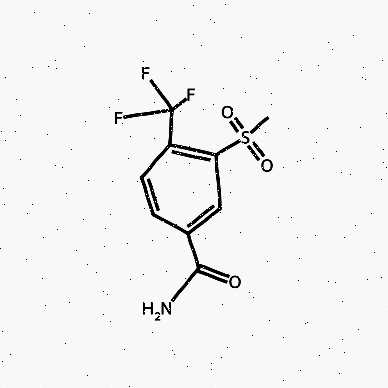 CS(=O)(=O)c1cc(C(N)=O)ccc1C(F)(F)F